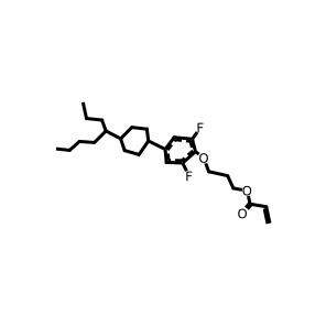 C=CC(=O)OCCCOc1c(F)cc(C2CCC(C(CCC)CCCC)CC2)cc1F